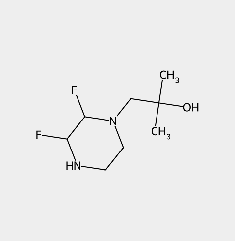 CC(C)(O)CN1CCNC(F)C1F